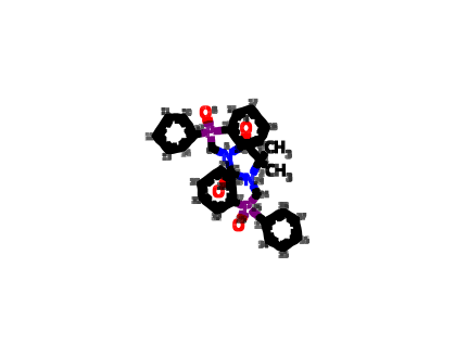 CC1(C)C(=O)N(CP(=O)(c2ccccc2)c2ccccc2)C(=O)N1CP(=O)(c1ccccc1)c1ccccc1